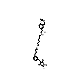 CC1(C)OCc2cc([C@H](O)CNCCCCCCOCCCCc3cccc(C[C@]4(C)NC(=O)NC4=O)c3)ccc2O1